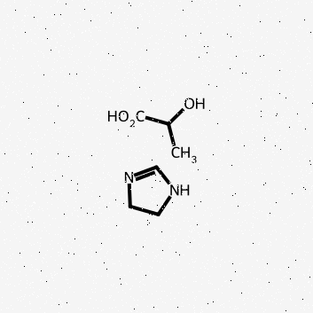 C1=NCCN1.CC(O)C(=O)O